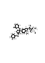 CN(C)C(=O)c1cc2cc(C3(Cc4ccccc4)CCN(Cc4ccccc4)C3)ccc2[nH]1